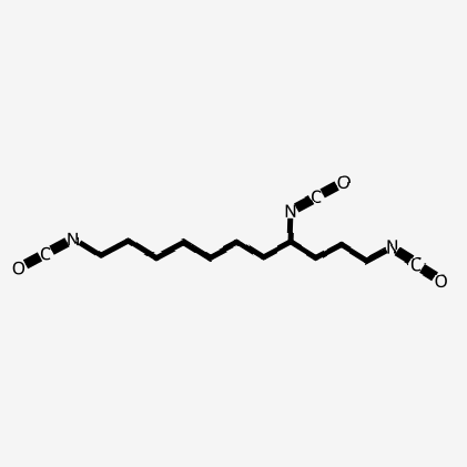 O=C=NCCCCCCCC(CCCN=C=O)N=C=O